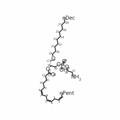 CCCCC/C=C\C/C=C\C/C=C\CCCCC(=O)O[C@H](COCCCCCCCCCCCCCCCCCCCC)COP(=O)(O)OCCN